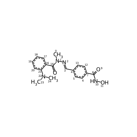 CN(/N=C/c1ccc(C(=O)NO)cc1)C(=O)c1ccccc1N(C)C